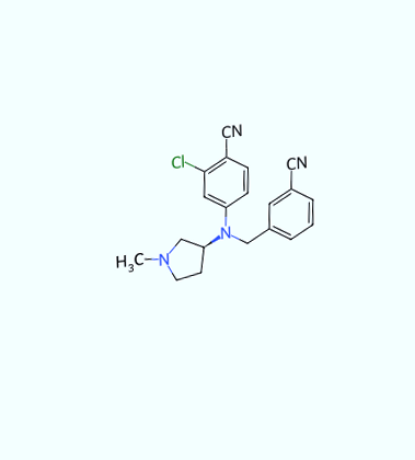 CN1CC[C@H](N(Cc2cccc(C#N)c2)c2ccc(C#N)c(Cl)c2)C1